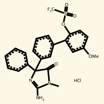 COc1ccc(OS(=O)(=O)C(F)(F)F)c(-c2cccc(C3(c4ccccc4)N=C(N)N(C)C3=O)c2)c1.Cl